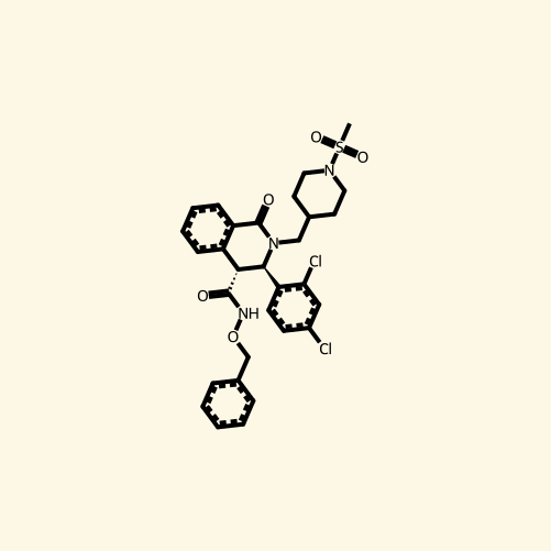 CS(=O)(=O)N1CCC(CN2C(=O)c3ccccc3[C@@H](C(=O)NOCc3ccccc3)[C@@H]2c2ccc(Cl)cc2Cl)CC1